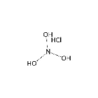 Cl.ON(O)O